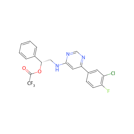 O=C(O[C@@H](CNc1cc(-c2ccc(F)c(Cl)c2)ncn1)c1ccccc1)C(F)(F)F